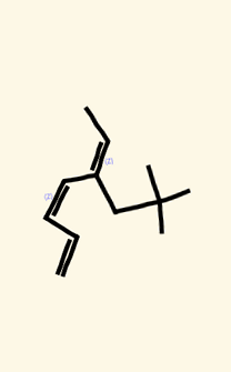 C=C/C=C\C(=C/C)CC(C)(C)C